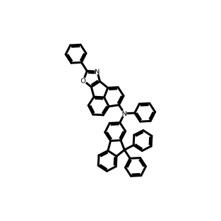 c1ccc(-c2nc3c(o2)-c2cccc4c(N(c5ccccc5)c5ccc6c(c5)C(c5ccccc5)(c5ccccc5)c5ccccc5-6)ccc-3c24)cc1